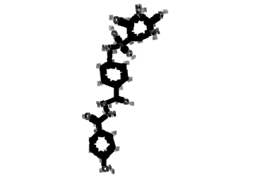 Cc1ccc(C(=O)NNC(=O)c2ccc(NS(=O)(=O)c3c[nH]c(=O)[nH]c3=O)cc2)cc1